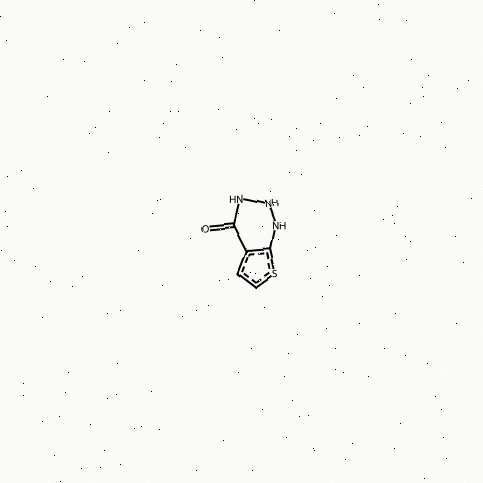 O=C1NNNc2sccc21